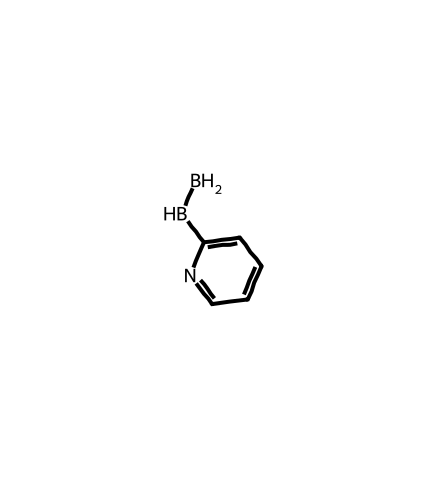 BBc1ccccn1